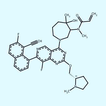 C#Cc1c(F)ccc2cccc(-c3ncc4c(N5CCCC(C)(O)C(N(C)C(=O)C=C)C5)nc(OC[C@@H]5CCCN5C)nc4c3F)c12